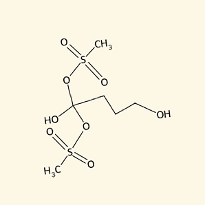 CS(=O)(=O)OC(O)(CCCO)OS(C)(=O)=O